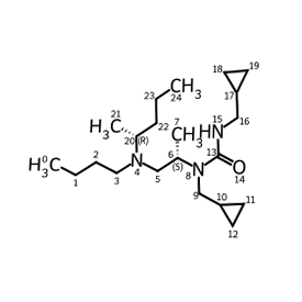 CCCCN(C[C@H](C)N(CC1CC1)C(=O)NCC1CC1)[C@H](C)CCC